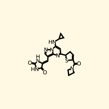 O=C1NC(=O)/C(=C/c2cnn3c(NC4CC4)cc(C4CC=C(C(=O)N5CCC5)S4)nc23)N1